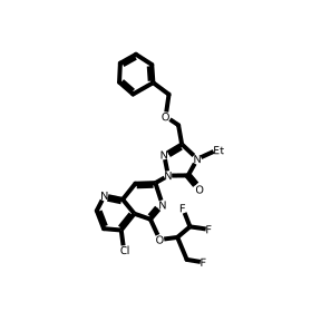 CCn1c(COCc2ccccc2)nn(-c2cc3nccc(Cl)c3c(OC(CF)C(F)F)n2)c1=O